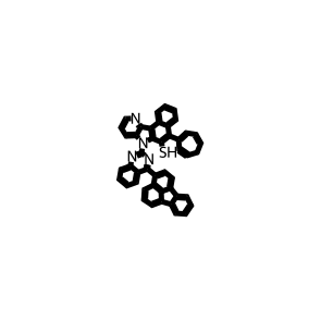 Sc1c(C2=CC=CCC#C2)c2ccccc2c2c3ncccc3n(-c3nc(-c4ccc5c6c(cccc46)-c4ccccc4-5)c4ccccc4n3)c12